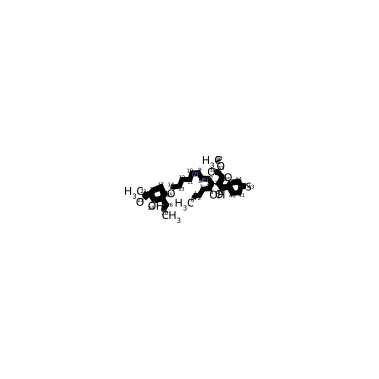 CCCC[C@H](O)[C@H](/C=C/C=C\CCCCOc1ccc(C(C)=O)c(O)c1CCC)c1c(C(=O)OC)oc2c(c1=O)=CCC(=S)C=2